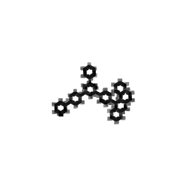 c1ccc(-c2nc(-c3ccc(-c4cccnc4)cc3)cc(-c3ccc(-c4c5ccccc5cc5ccc6ccccc6c45)cc3)n2)cc1